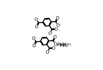 O=C([O-])c1ccc(C(=O)[O-])c(C(=O)[O-])c1.O=C([O-])c1ccc(C(=O)[O-])c(C(=O)[O-])c1.[Pb+2].[Pb+2].[Pb+2]